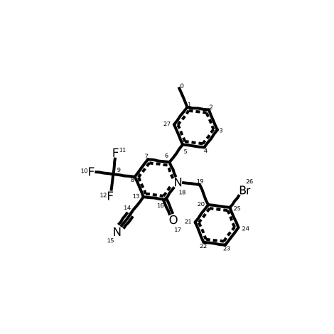 Cc1cccc(-c2cc(C(F)(F)F)c(C#N)c(=O)n2Cc2ccccc2Br)c1